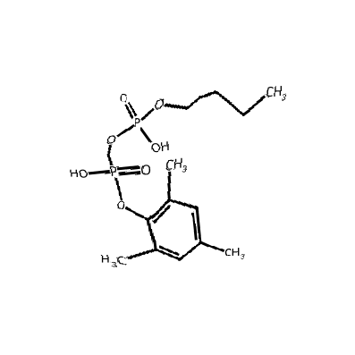 CCCCOP(=O)(O)OP(=O)(O)Oc1c(C)cc(C)cc1C